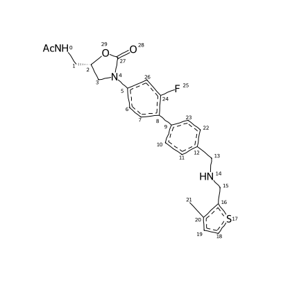 CC(=O)NC[C@H]1CN(c2ccc(-c3ccc(CNCc4sccc4C)cc3)c(F)c2)C(=O)O1